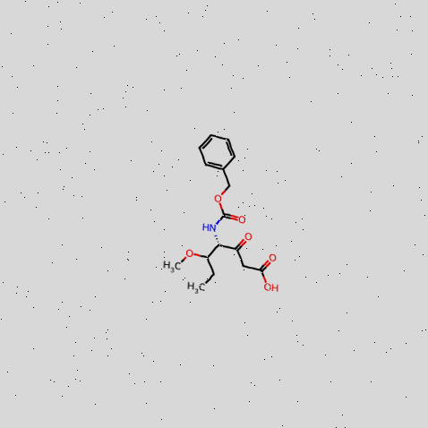 CCC(OC)[C@H](NC(=O)OCc1ccccc1)C(=O)CC(=O)O